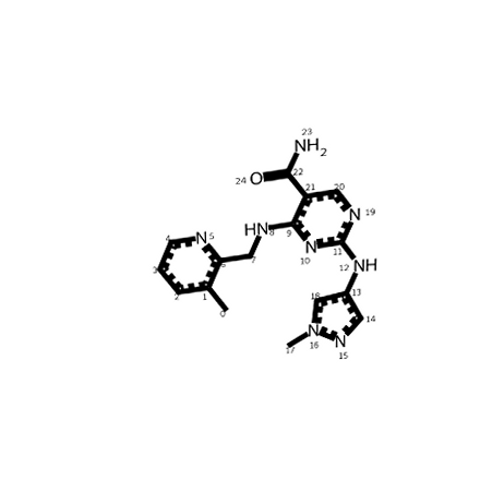 Cc1cccnc1CNc1nc(Nc2cnn(C)c2)ncc1C(N)=O